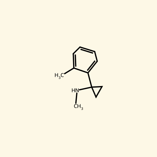 CNC1(c2ccccc2C)CC1